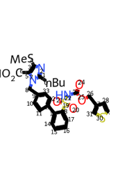 CCCCc1nc(SC)c(C(=O)O)n1Cc1ccc(-c2ccccc2S(=O)(=O)NC(=O)OCc2ccsc2)cc1